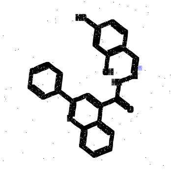 O=C(N/N=C\c1ccc(O)cc1O)c1cc(-c2ccccc2)nc2ccccc12